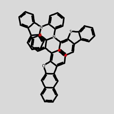 c1ccc(N(c2ccccc2-n2c3ccccc3c3ccccc32)c2cccc3c2sc2ccccc23)c(-c2cccc3c2oc2cc4ccccc4cc23)c1